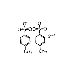 Cc1ccc(S(=O)(=O)[O-])cc1.Cc1ccc(S(=O)(=O)[O-])cc1.[Sr+2]